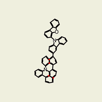 c1ccc(-c2ccccc2N(c2ccccc2)c2ccccc2-c2ccc(-c3ccc4c(c3)c3ccccc3n4-c3cccc4c3oc3ccccc34)cc2)cc1